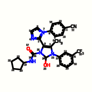 CC1=C(c2nccn2-c2ccc(C#N)cc2)N(C(=O)NC2CCCC2)C(O)N1c1cccc(C(F)(F)F)c1